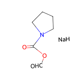 O=COC(=O)N1CCCC1.[NaH]